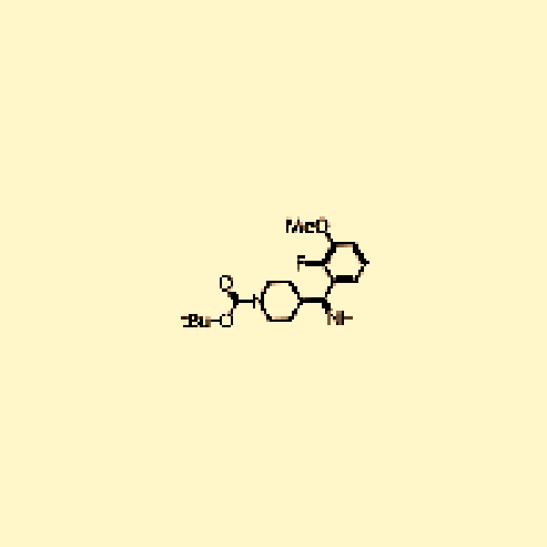 COc1cccc(C(=N)C2CCN(C(=O)OC(C)(C)C)CC2)c1F